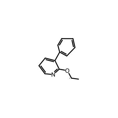 C[CH]Oc1ncccc1-c1ccccc1